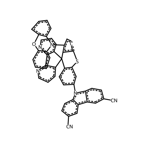 N#Cc1ccc2c(c1)c1cc(C#N)ccc1n2-c1ccc2c(c1)Sc1cccc(N3c4ccccc4Oc4ccccc43)c1C21c2cccnc2-c2ncccc21